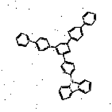 c1ccc(-c2ccc(-c3cc(-c4ccc(-c5ccccc5)cc4)cc(-c4ccc(-n5c6ccccc6c6ccccc65)cc4)c3)cc2)cc1